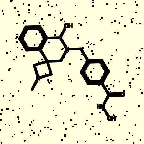 CN1CC2(C1)CN(Cc1ccc(C(=O)NO)cc1)C(O)c1ccccc12